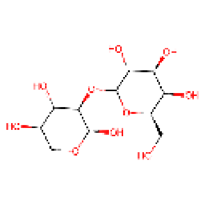 OC[C@H]1OC(O[C@@H]2[C@@H](O)[C@H](O)CO[C@@H]2O)[C@H](O)[C@@H](O)[C@H]1O